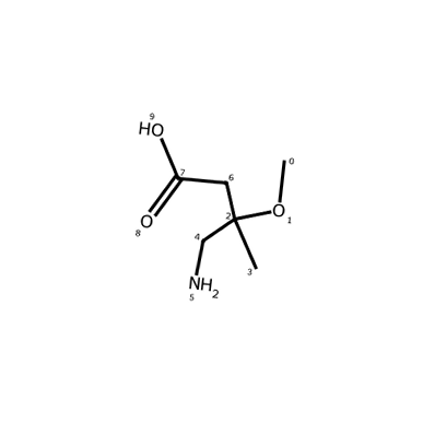 COC(C)(CN)CC(=O)O